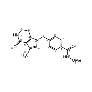 CONC(=O)c1ccc(Cn2cc(C)c3c2CCNC3=O)cc1